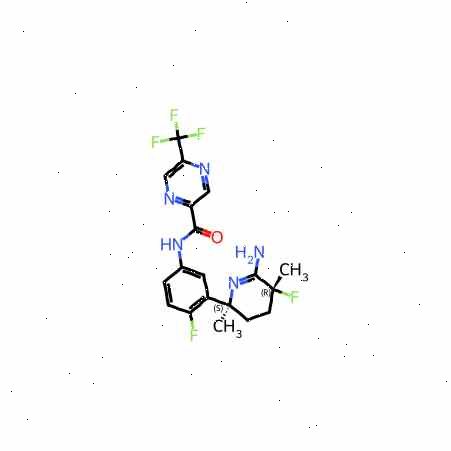 C[C@@]1(F)CC[C@@](C)(c2cc(NC(=O)c3cnc(C(F)(F)F)cn3)ccc2F)N=C1N